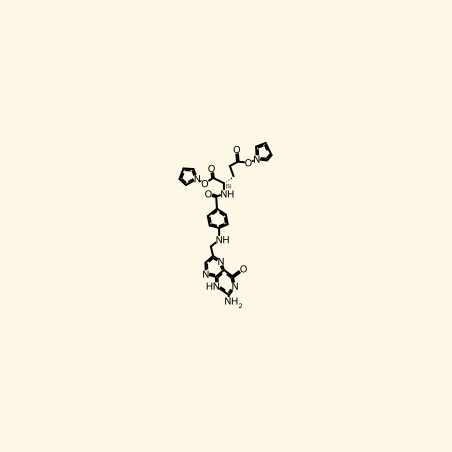 Nc1nc(=O)c2nc(CNc3ccc(C(=O)N[C@@H](CCC(=O)On4cccc4)C(=O)On4cccc4)cc3)cnc2[nH]1